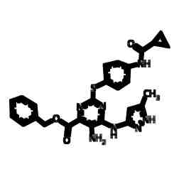 Cc1cc(Nc2nc(Sc3ccc(NC(=O)C4CC4)cc3)nc(C(=O)OCc3ccccc3)c2N)n[nH]1